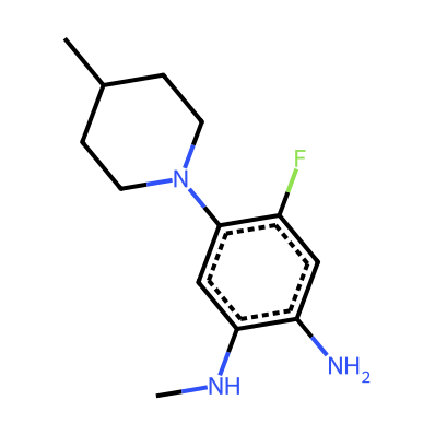 CNc1cc(N2CCC(C)CC2)c(F)cc1N